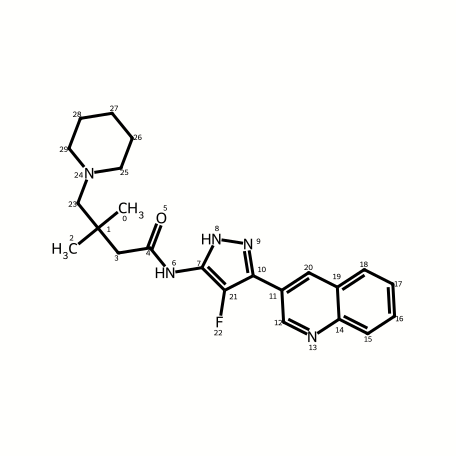 CC(C)(CC(=O)Nc1[nH]nc(-c2cnc3ccccc3c2)c1F)CN1CCCCC1